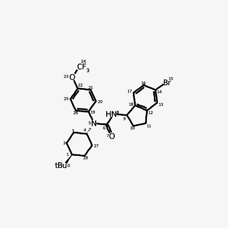 CC(C)(C)[C@H]1CC[C@H](N(C(=O)NC2CCc3cc(Br)ccc32)c2ccc(OC(F)(F)F)cc2)CC1